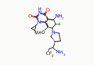 COC1=c2c(c(=O)[nH]c(=O)n2C2CC2)=C(N)C(F)C1N1CCC(C(N)CC(F)(F)F)C1